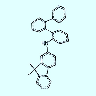 CC1(C)c2ccccc2-c2ccc(Nc3ccccc3-c3ccccc3-c3ccccc3)cc21